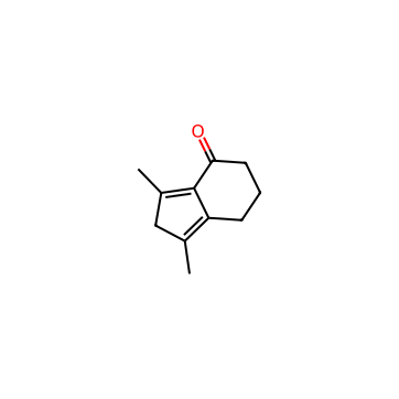 CC1=C2CCCC(=O)C2=C(C)C1